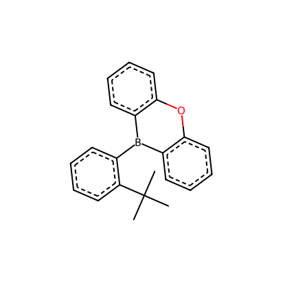 CC(C)(C)c1ccccc1B1c2ccccc2Oc2ccccc21